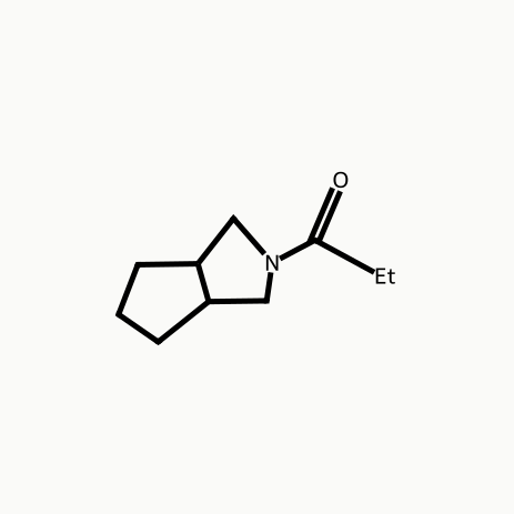 CCC(=O)N1CC2CCCC2C1